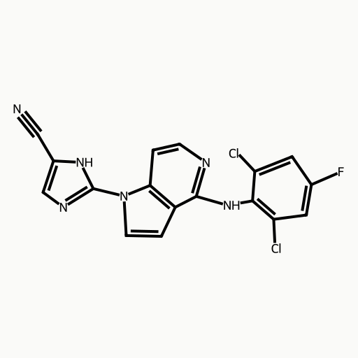 N#Cc1cnc(-n2ccc3c(Nc4c(Cl)cc(F)cc4Cl)nccc32)[nH]1